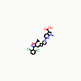 Cn1cc(C(=O)O)c2ccc(N3CCC4(CC(=Cc5c(-c6c(Cl)cccc6Cl)noc5C5CC5)C4)C3)nc21